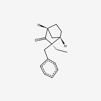 CC[C@]1(Cc2ccccc2)C(=O)[C@@H]2CC[C@H]1C2